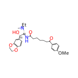 CCN(C)C[C@H](NC(=O)CCCCCC(=O)c1ccc(OC)cc1)[C@@H](O)c1ccc2c(c1)OCCO2